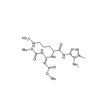 Cn1ncc(NC(=O)C(CCCNC(=O)O)N/C(=N\C(=O)OC(C)(C)C)NC(=O)OC(C)(C)C)c1N